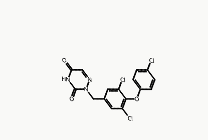 O=c1cnn(Cc2cc(Cl)c(Oc3ccc(Cl)cc3)c(Cl)c2)c(=O)[nH]1